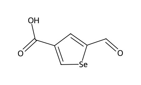 O=Cc1cc(C(=O)O)c[se]1